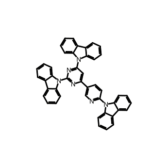 c1ccc2c(c1)c1ccccc1n2-c1ccc(-c2cc(-n3c4ccccc4c4ccccc43)nc(-n3c4ccccc4c4ccccc43)n2)cn1